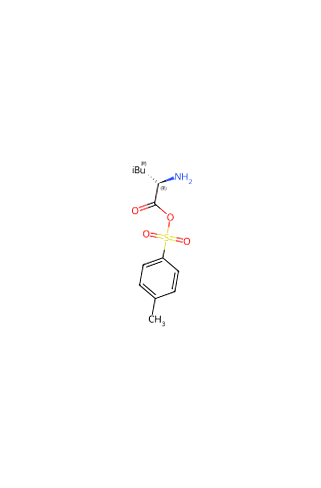 CC[C@@H](C)[C@@H](N)C(=O)OS(=O)(=O)c1ccc(C)cc1